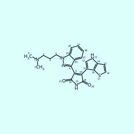 CN(C)CCCn1nc(C2=C(c3c[nH]c4ccsc34)C(=O)NC2=O)c2ccccc21